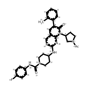 CC(=O)N1CCC(n2c(=O)c(-c3ccccc3C)cc3cnc(NC4CCN(C(=O)Nc5ccc(F)cc5)CC4)nc32)C1